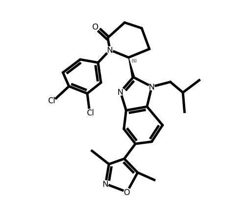 Cc1noc(C)c1-c1ccc2c(c1)nc([C@@H]1CCCC(=O)N1c1ccc(Cl)c(Cl)c1)n2CC(C)C